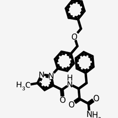 Cc1cc(C(=O)NC(Cc2ccccc2)C(=O)C(N)=O)n(-c2ccc(COCc3ccccc3)cc2)n1